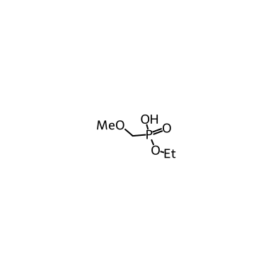 CCOP(=O)(O)COC